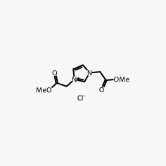 COC(=O)Cn1cc[n+](CC(=O)OC)c1.[Cl-]